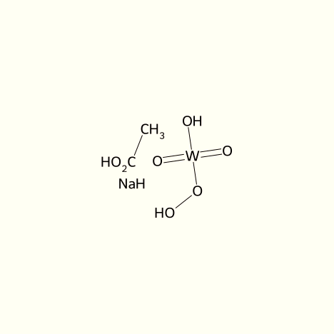 CC(=O)O.[NaH].[O]=[W](=[O])([OH])[O]O